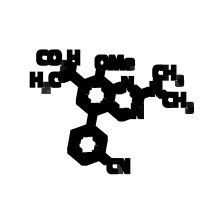 C=C(C(=O)O)c1cc(-c2cccc(C#N)c2)c2cnc(N(C)C)nc2c1OC